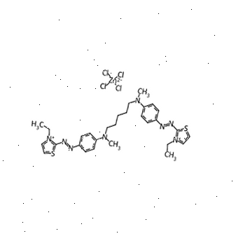 CC[n+]1ccsc1/N=N/c1ccc(N(C)CCCCCN(C)c2ccc(/N=N/c3scc[n+]3CC)cc2)cc1.[Cl][Zn-2]([Cl])([Cl])[Cl]